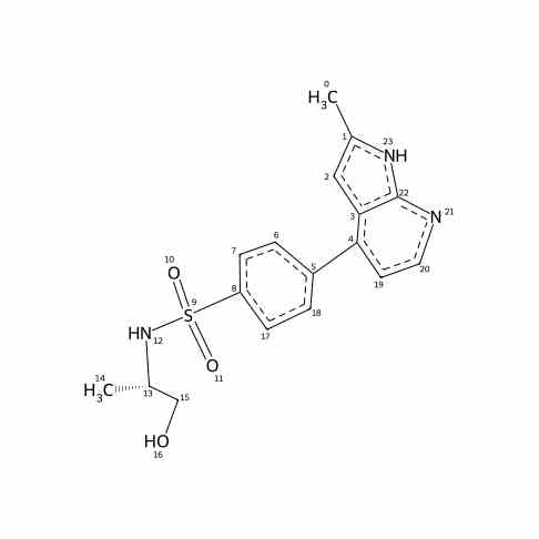 Cc1cc2c(-c3ccc(S(=O)(=O)N[C@@H](C)CO)cc3)ccnc2[nH]1